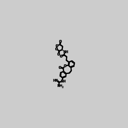 N=C(N)Nc1ccc2c(c1)CCc1cccc(CCC(=O)N[C@H]3CC(=O)OOC3=O)c1OC2=O